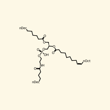 CCCCCCCC/C=C\CCCCCCCC(=O)O[C@H](COC(=O)CCCCCCCCCCCCCCC)COP(=O)(O)OCCNC(=O)CCCCCCCCCCCCC